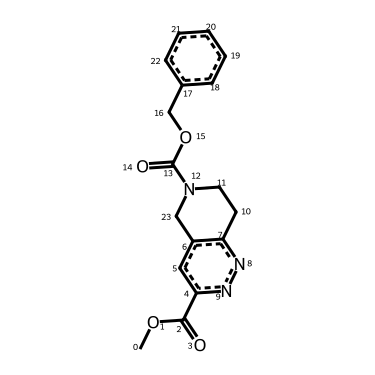 COC(=O)c1cc2c(nn1)CCN(C(=O)OCc1ccccc1)C2